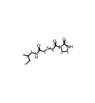 CCC(C)CNC(=O)CSCC(=O)N1CCNC1=O